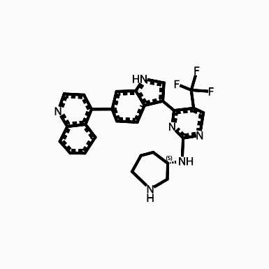 FC(F)(F)c1cnc(N[C@H]2CCCNC2)nc1-c1c[nH]c2cc(-c3ccnc4ccccc34)ccc12